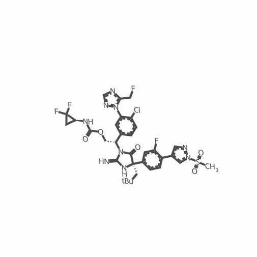 CC(C)(C)C[C@]1(c2ccc(-c3cnn(S(C)(=O)=O)c3)c(F)c2)NC(=N)N([C@H](COC(=O)N[C@H]2CC2(F)F)c2ccc(Cl)c(-n3ncnc3CF)c2)C1=O